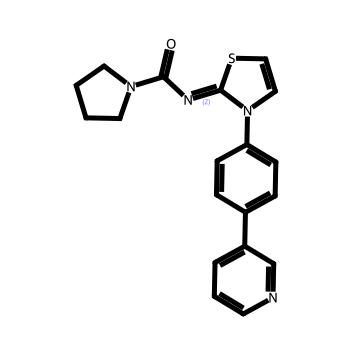 O=C(/N=c1\sccn1-c1ccc(-c2cccnc2)cc1)N1CCCC1